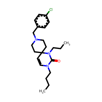 CCCCN1C=CC2(CCN(Cc3ccc(Cl)cc3)CC2)N(CCC)C1=O